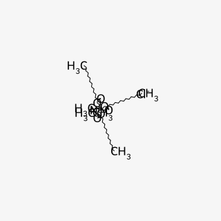 CCCCCCCCCCCCCC(=O)OCC(COC(=O)CCCCCCCCCCCCC)(COC(=O)CCCCCCCCCCCCC)C[N+](C)(C)C.[Cl-]